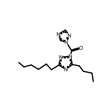 CCCCCCc1nc(CCCC)n(C(=O)n2cncn2)n1